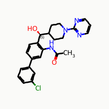 CC(=O)Nc1cc(-c2cccc(Cl)c2)ccc1[C@@H](O)C1CCN(c2ncccn2)CC1